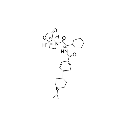 O=C(N[C@H](C(=O)N1CC[C@H]2OCC(=O)[C@H]21)C1CCCCC1)c1ccc(C2CCN(C3CC3)CC2)cc1